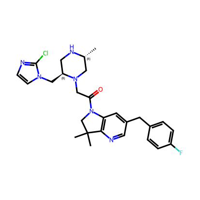 C[C@@H]1CN(CC(=O)N2CC(C)(C)c3ncc(Cc4ccc(F)cc4)cc32)[C@@H](Cn2ccnc2Cl)CN1